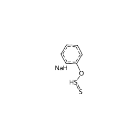 S=[SH]Oc1ccccc1.[NaH]